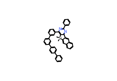 C[Si]1(C)c2cc3ccccc3cc2-c2nc(-c3ccccc3)nc(-c3cccc(-c4cccc(-c5ccc(-c6ccccc6)cc5)c4)c3)c21